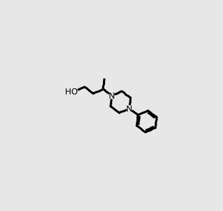 CC(CCO)N1CCN(c2ccccc2)CC1